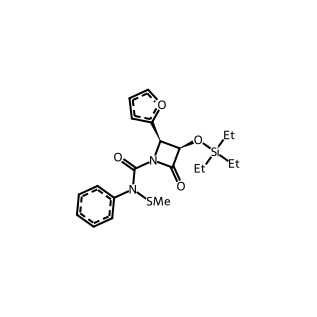 CC[Si](CC)(CC)O[C@H]1C(=O)N(C(=O)N(SC)c2ccccc2)[C@H]1c1ccco1